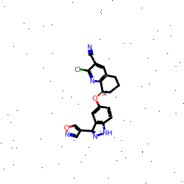 N#Cc1cc2c(nc1Cl)[C@H](Oc1ccc3[nH]nc(-c4cnoc4)c3c1)CCC2